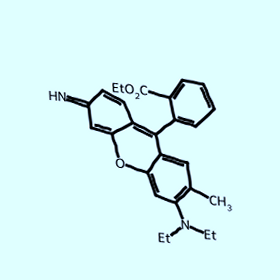 CCOC(=O)c1ccccc1-c1c2ccc(=N)cc-2oc2cc(N(CC)CC)c(C)cc12